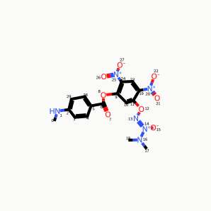 CNc1ccc(C(=O)Oc2cc(O/N=[N+](\[O-])N(C)C)c([N+](=O)[O-])cc2[N+](=O)[O-])cc1